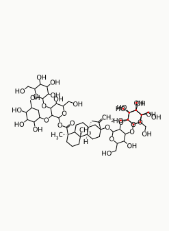 C=C1C[C@@]23CCC4[C@](C)(C(=O)OC5OC(CO)C(O)C(OC6OC(CO)C(O)C(O)C6O)C5OC5CC(CO)C(O)C(O)C5O)CCC[C@@]4(C)[C@@H]2CCC1(OC1OC(CO)C(O)C(OC2OC(CO)C(O)C(O)C2O)C1OC1OC(CO)C(O)C(O)C1O)C3